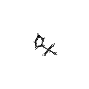 O=S(=O)([O-])[n+]1ccco1